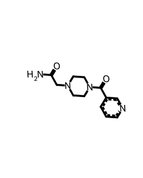 NC(=O)CN1CCN(C(=O)c2cccnc2)CC1